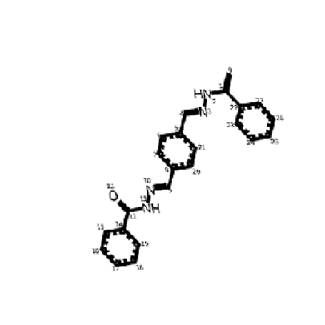 C=C(N/N=C/c1ccc(/C=N/NC(=O)c2ccccc2)cc1)c1ccccc1